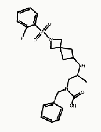 CC(CN(Cc1ccccc1)C(=O)O)NC1CC2(C1)CN(S(=O)(=O)c1ccccc1F)C2